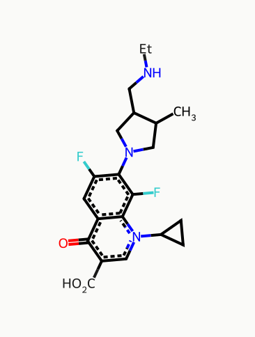 CCNCC1CN(c2c(F)cc3c(=O)c(C(=O)O)cn(C4CC4)c3c2F)CC1C